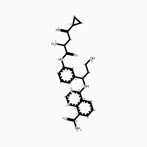 N=C(CC(N)C(=O)Nc1cccc(C(CCO)Nc2ncnc3c(C(N)=O)cccc23)c1)C1CC1